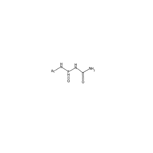 CC(=O)N[PH](=O)NC(N)=O